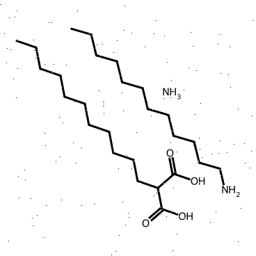 CCCCCCCCCCCC(C(=O)O)C(=O)O.CCCCCCCCCCCCN.N